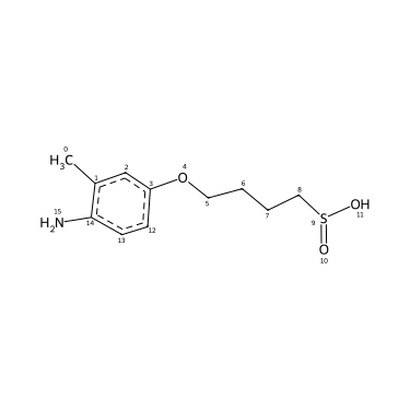 Cc1cc(OCCCCS(=O)O)ccc1N